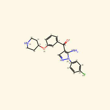 Nc1c(C(=O)c2cccc(OC3CCNCC3)c2)cnn1-c1ccc(F)cc1